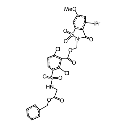 COc1cc(C(C)C)c2c(c1)S(=O)(=O)N(COC(=O)c1c(Cl)ccc(S(=O)(=O)NCC(=O)OCc3ccccc3)c1Cl)C2=O